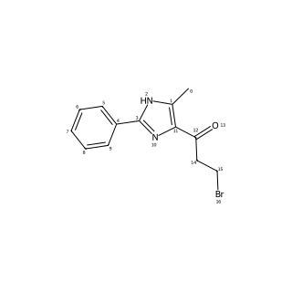 Cc1[nH]c(-c2ccccc2)nc1C(=O)CCBr